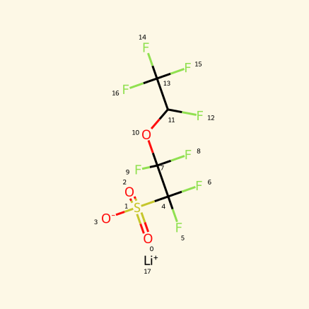 O=S(=O)([O-])C(F)(F)C(F)(F)OC(F)C(F)(F)F.[Li+]